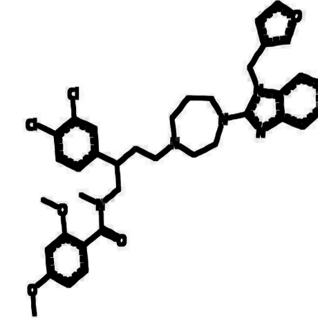 COc1ccc(C(=O)N(C)CC(CCN2CCCN(c3nc4ccccc4n3Cc3ccoc3)CC2)c2ccc(Cl)c(Cl)c2)c(OC)c1